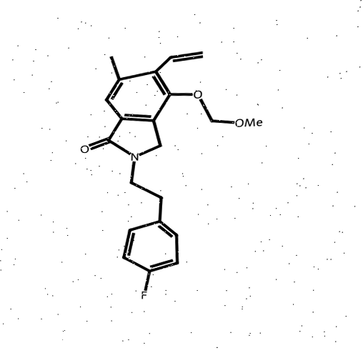 C=Cc1c(C)cc2c(c1OCOC)CN(CCc1ccc(F)cc1)C2=O